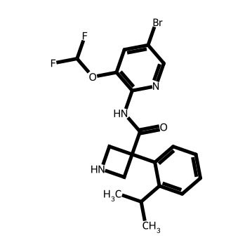 CC(C)c1ccccc1C1(C(=O)Nc2ncc(Br)cc2OC(F)F)CNC1